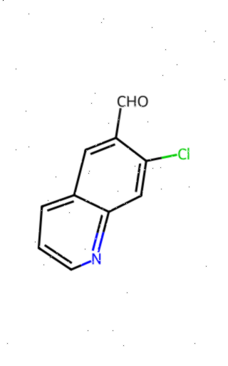 O=Cc1cc2cccnc2cc1Cl